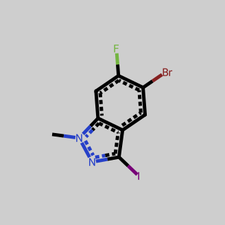 Cn1nc(I)c2cc(Br)c(F)cc21